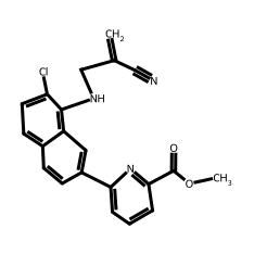 C=C(C#N)CNc1c(Cl)ccc2ccc(-c3cccc(C(=O)OC)n3)cc12